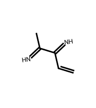 C=CC(=N)C(C)=N